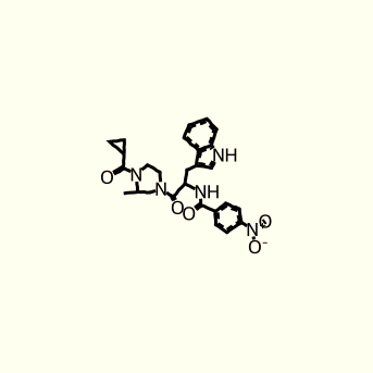 CC1CN(C(=O)C(Cc2c[nH]c3ccccc23)NC(=O)c2ccc([N+](=O)[O-])cc2)CCN1C(=O)C1CC1